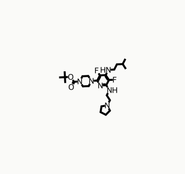 CC(C)CCNc1c(F)c(NCCN2CCCC2)nc(N2CCN(C(=O)OC(C)(C)C)CC2)c1F